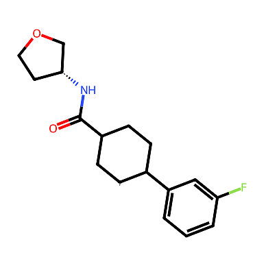 O=C(N[C@@H]1CCOC1)C1C[CH]C(c2cccc(F)c2)CC1